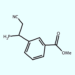 COC(=O)c1cccc(C(P)CC#N)c1